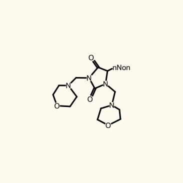 CCCCCCCCCC1C(=O)N(CN2CCOCC2)C(=O)N1CN1CCOCC1